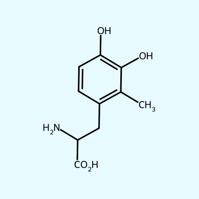 Cc1c(CC(N)C(=O)O)ccc(O)c1O